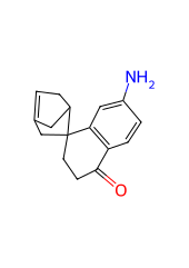 Nc1ccc2c(c1)C1(CCC2=O)CC2=CCC1C2